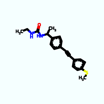 CCNC(=O)NC(C)c1ccc(C#Cc2ccc(SC)cc2)cc1